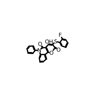 O=c1oc2c(c(O)c1Sc1ccccc1F)c(=O)n(-c1ccccc1)c1ccccc21